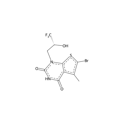 Cc1c(Br)sc2c1c(=O)[nH]c(=O)n2C[C@@H](O)C(F)(F)F